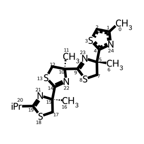 Cc1csc([C@]2(C)CSC([C@]3(C)CSC([C@@]4(C)CSC(C(C)C)=N4)=N3)=N2)n1